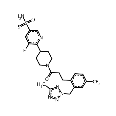 Cc1nnn(Cc2cc(C(F)(F)F)ccc2CCC(=O)N2CCC(c3ncc(S(N)(=O)=S)cc3F)CC2)n1